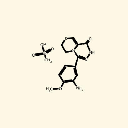 COc1ccc(C2=NNC(=O)C3=CSCCN32)cc1N.CS(=O)(=O)O